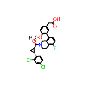 COc1ccc(CC(=O)O)cc1-c1ccc(F)c2c1CN(C(=O)[C@@H]1C[C@H]1c1ccc(Cl)cc1Cl)CC2